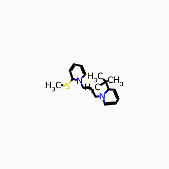 CSC1C=CC=CN1CCCN1C=CC=CC1C(C)(C)C